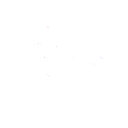 Nc1nc(NC[C@@H]2CCCO2)c2ccc(-c3ccn[nH]3)cc2n1.O=CO